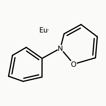 C1=CON(c2ccccc2)C=C1.[Eu]